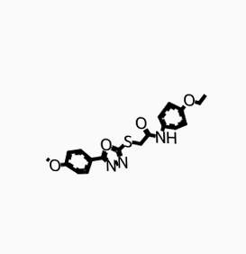 CCOc1ccc(NC(=O)CSc2nnc(-c3ccc(OC)cc3)o2)cc1